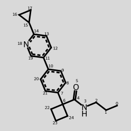 CCCNC(=O)C1(c2ccc(-c3ccc(C4CC4)nc3)cc2)CCC1